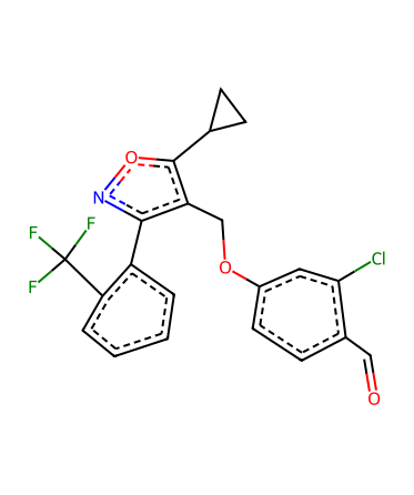 O=Cc1ccc(OCc2c(-c3ccccc3C(F)(F)F)noc2C2CC2)cc1Cl